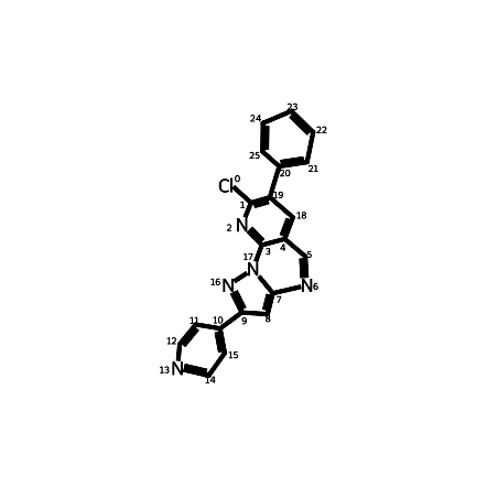 Clc1nc2c(cnc3cc(-c4ccncc4)nn32)cc1-c1ccccc1